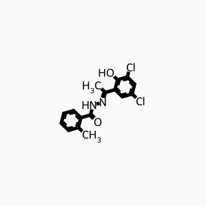 C/C(=N\NC(=O)c1ccccc1C)c1cc(Cl)cc(Cl)c1O